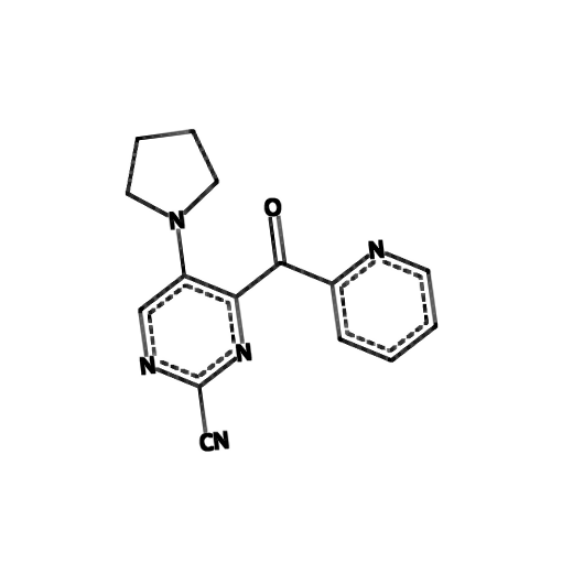 N#Cc1ncc(N2CCCC2)c(C(=O)c2ccccn2)n1